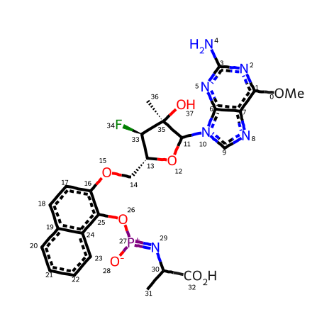 COc1nc(N)nc2c1ncn2C1O[C@H](COc2ccc3ccccc3c2O/[P+]([O-])=N/C(C)C(=O)O)[C@@H](F)[C@@]1(C)O